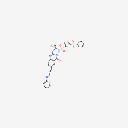 O=C(O)[C@H](Cc1nc2ccc(/C=C/CNc3ccccn3)cc2c(=O)[nH]1)NS(=O)(=O)c1ccc(S(=O)(=O)c2ccccc2)s1